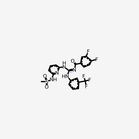 CS(=O)(=O)Nc1cccc(N/C(=N\C(=O)c2ccc(F)c(F)c2)Nc2cccc(C(F)(F)F)c2)n1